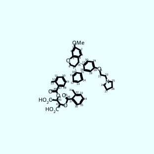 COc1ccc2c(c1)OC[C@@H](c1ccccc1)[C@H]2c1ccc(OCCN2CCCC2)cc1.Cc1ccccc1C(=O)OC(C(=O)O)C(OC(=O)c1ccccc1C)C(=O)O